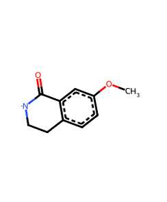 COc1ccc2c(c1)C(=O)[N]CC2